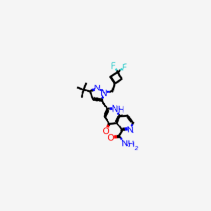 CC(C)(C)c1cc(-c2cc(=O)c3c(C(N)=O)nccc3[nH]2)n(CC2CC(F)(F)C2)n1